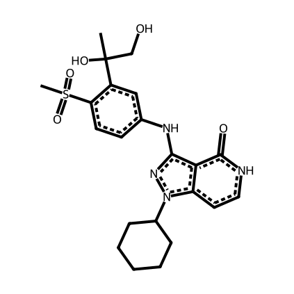 CC(O)(CO)c1cc(Nc2nn(C3CCCCC3)c3cc[nH]c(=O)c23)ccc1S(C)(=O)=O